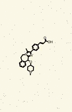 Cc1c(-c2ccc(C=CC(=O)O)cc2)nc2n1CCc1ccccc1C2OC1CCN(C)CC1